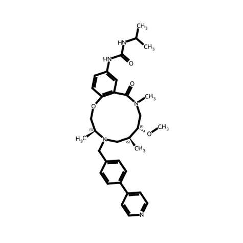 CO[C@H]1CN(C)C(=O)c2cc(NC(=O)NC(C)C)ccc2OC[C@H](C)N(Cc2ccc(-c3ccncc3)cc2)C[C@@H]1C